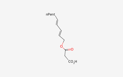 CCCCCC=C/C=C/COC(=O)CC(=O)O